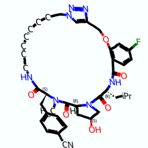 CC(C)C[C@H]1NC(=O)c2ccc(F)cc2OCc2cn(nn2)CCCCCCCCNC(=O)[C@H](Cc2ccc(C#N)cc2)N(C)C(=O)[C@H]2C[C@H](O)CN2C1=O